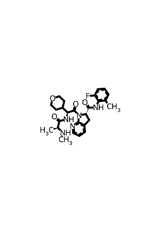 CN[C@@H](C)C(=O)N[C@H](C(=O)N1c2ncccc2C[C@H]1C(=O)Nc1c(C)cccc1F)C1CCOCC1